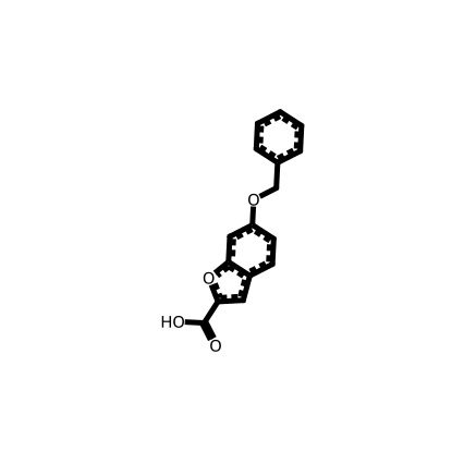 O=C(O)c1cc2ccc(OCc3ccccc3)cc2o1